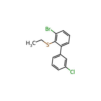 CCSc1c(Br)cccc1-c1cccc(Cl)c1